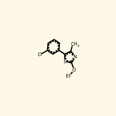 CCOc1nc(C)c(-c2cccc(Cl)c2)s1